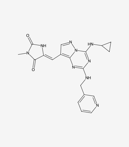 CN1C(=O)N/C(=C\c2cnn3c(NC4CC4)nc(NCc4cccnc4)nc23)C1=O